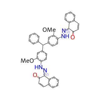 COc1cc(C(c2ccccc2)c2ccc(N/N=C3\C(=O)C=Cc4ccccc43)c(OC)c2)ccc1N/N=C1\C(=O)C=Cc2ccccc21